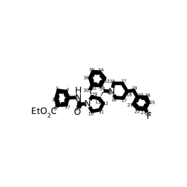 CCOC(=O)c1cccc(NC(=O)N2CCC[C@@H](CN3CCC(Cc4ccc(F)cc4)CC3)[C@H]2Cc2ccccc2)c1